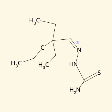 CCCC(/C=N\NC(N)=S)(CC)CC